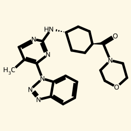 Cc1cnc(N[C@H]2CC[C@H](C(=O)N3CCOCC3)CC2)nc1-n1nnc2ccccc21